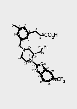 Cc1cc(CCC(=O)O)cc(CN2CCN(c3nc4ccc(C(F)(F)F)cc4s3)[C@H](CC(C)C)C2)c1